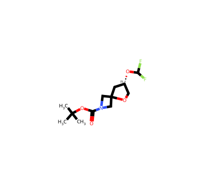 CC(C)(C)OC(=O)N1CC2(C[C@H](OC(F)F)CO2)C1